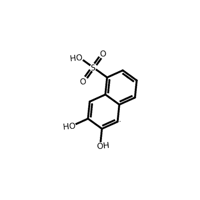 O=S(=O)(O)c1cccc2[c]c(O)c(O)cc12